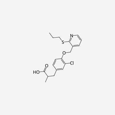 CCCSc1ncccc1COc1ccc(CC(C)C(=O)O)cc1Cl